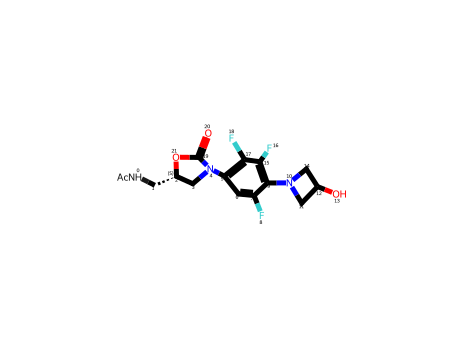 CC(=O)NC[C@H]1CN(c2cc(F)c(N3CC(O)C3)c(F)c2F)C(=O)O1